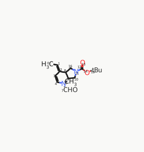 C/C=C(\C=C/N(C)C=O)C1CCN(C(=O)OC(C)(C)C)C1